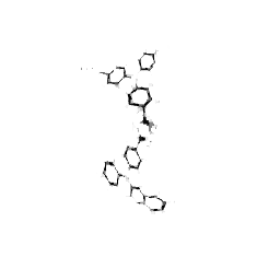 CC(C)(C)c1ccc(N(c2ccc(-c3nsc(-c4ccc(N(c5ccccc5)c5ccc6ccccc6c5)cc4)n3)cc2)c2ccc(C(C)(C)C)cc2)cc1